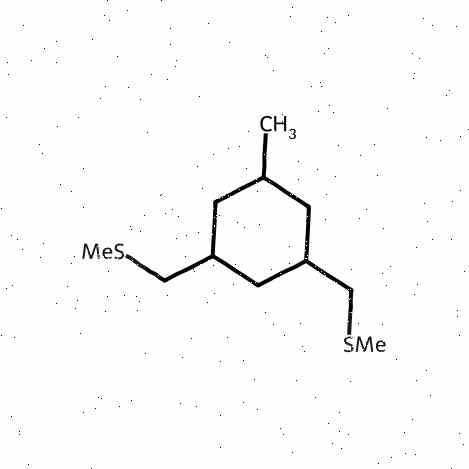 CSCC1CC(C)CC(CSC)C1